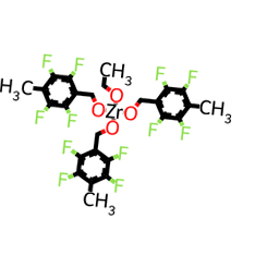 CC[O][Zr]([O]Cc1c(F)c(F)c(C)c(F)c1F)([O]Cc1c(F)c(F)c(C)c(F)c1F)[O]Cc1c(F)c(F)c(C)c(F)c1F